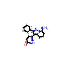 Nc1cccc2c(-c3ccc(=O)[nH]n3)c(-c3ccccc3)nn12